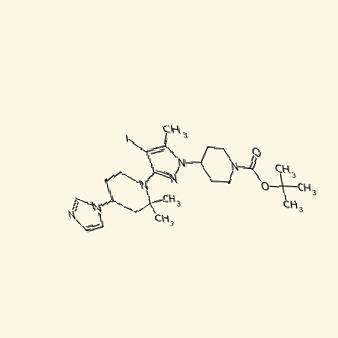 Cc1c(I)c(N2CCC(n3ccnc3)CC2(C)C)nn1C1CCN(C(=O)OC(C)(C)C)CC1